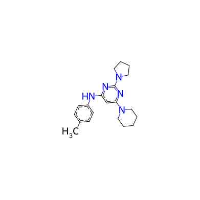 Cc1ccc(Nc2cc(N3CCCCC3)nc(N3CCCC3)n2)cc1